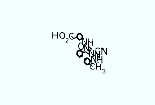 Cc1ccccc1N/C(=N/C#N)N1CCN(C(=O)Nc2cccc(CC(=O)O)c2)C(c2ccccc2)C1